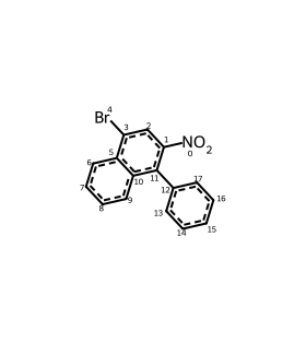 O=[N+]([O-])c1cc(Br)c2ccccc2c1-c1ccccc1